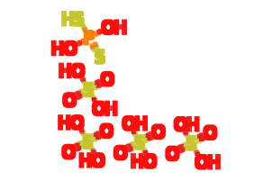 O=S(=O)(O)O.O=S(=O)(O)O.O=S(=O)(O)O.O=S(=O)(O)O.OP(O)(=S)S